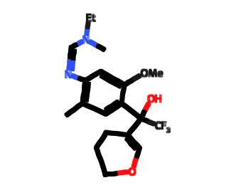 CCN(C)/C=N\c1cc(OC)c(C(O)(C2=COCCC2)C(F)(F)F)cc1C